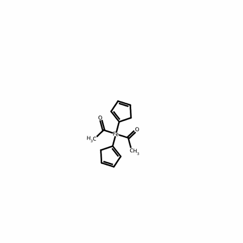 C[C](=O)[Fe]([C](C)=O)([C]1=CC=CC1)[C]1=CC=CC1